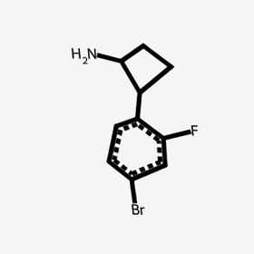 NC1CCC1c1ccc(Br)cc1F